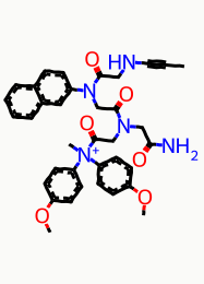 CC#CNCC(=O)N(CC(=O)N(CC(N)=O)CC(=O)[N+](C)(c1ccc(OC)cc1)c1ccc(OC)cc1)c1ccc2ccccc2c1